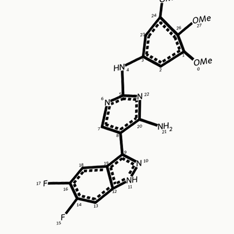 COc1cc(Nc2ncc(-c3n[nH]c4cc(F)c(F)cc34)c(N)n2)cc(OC)c1OC